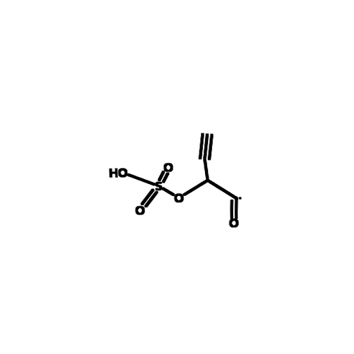 C#CC([C]=O)OS(=O)(=O)O